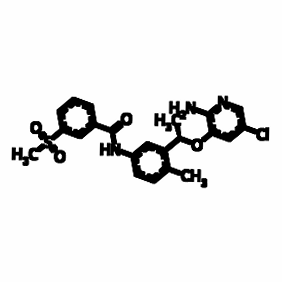 Cc1ccc(NC(=O)c2cccc(S(C)(=O)=O)c2)cc1[C@@H](C)Oc1cc(Cl)cnc1N